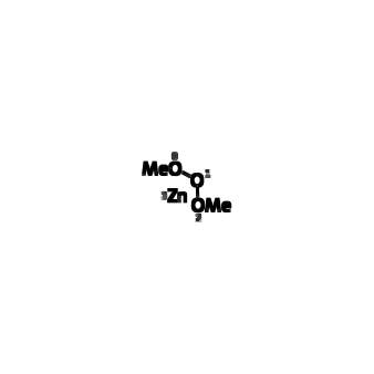 COOOC.[Zn]